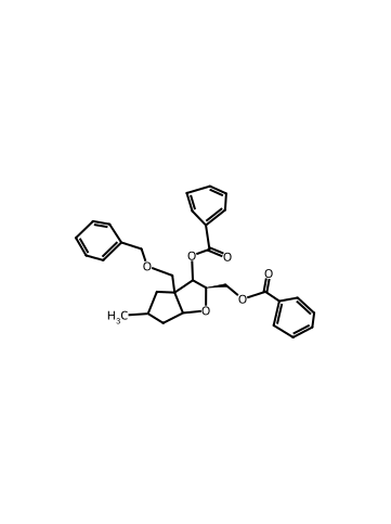 CC1CC2O[C@H](COC(=O)c3ccccc3)C(OC(=O)c3ccccc3)C2(COCc2ccccc2)C1